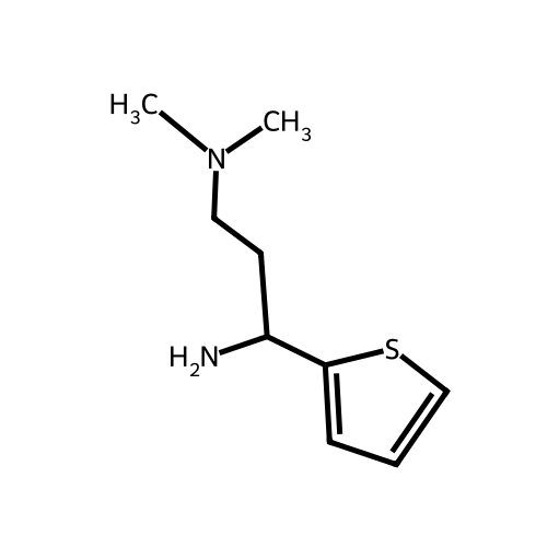 CN(C)CCC(N)c1cccs1